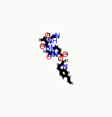 C/C=C/c1ccc2ccc([C@@H](C)OC(=O)[C@@H]3CCCN(C(=O)[C@H](C)NC(=O)[C@@H](NC(=O)C#N)C(C)C)N3)nc2c1